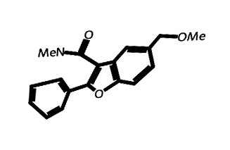 CNC(=O)c1c(-c2ccccc2)oc2ccc(COC)cc12